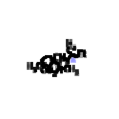 C=C1CC[C@@H]2[C@](C)(CCC[C@]2(C)C(=O)O)[C@H]1CC/C(C)=C/CC